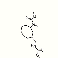 COC(=O)NCC1CCCCCC(N(C)C(=O)OC)C1